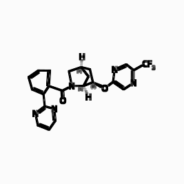 O=C(c1ccccc1-c1ncccn1)N1C[C@H]2C[C@@H](Oc3cnc(C(F)(F)F)cn3)[C@@H]1C2